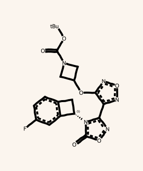 CC(C)(C)OC(=O)N1CC(Oc2nonc2-c2noc(=O)n2[C@H]2Cc3ccc(F)cc32)C1